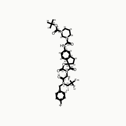 C[C@H](N(Cc1ccc(F)cc1)C(=O)CN1C(=O)OC2(CCc3cc(NC(=O)N4CCCN(C(=O)OC(C)(C)C)C4)ccc32)C1=O)C(F)(F)F